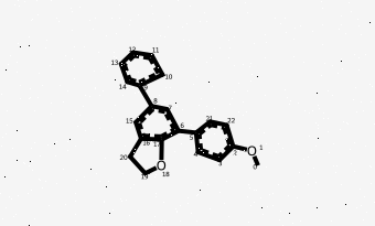 COc1ccc(-c2cc(-c3ccccc3)cc3c2O[CH]C3)cc1